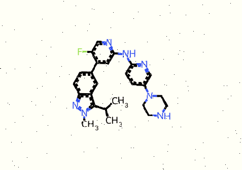 CC(C)c1c2cc(-c3cc(Nc4ccc(N5CCNCC5)cn4)ncc3F)ccc2nn1C